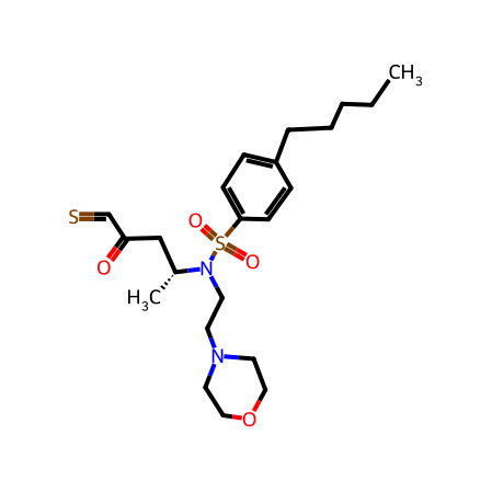 CCCCCc1ccc(S(=O)(=O)N(CCN2CCOCC2)[C@H](C)CC(=O)C=S)cc1